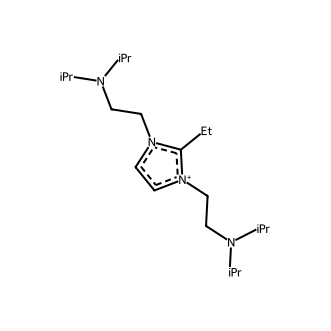 CCc1n(CCN(C(C)C)C(C)C)cc[n+]1CCN(C(C)C)C(C)C